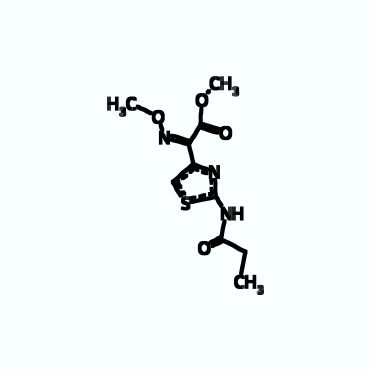 CCC(=O)Nc1nc(C(=NOC)C(=O)OC)cs1